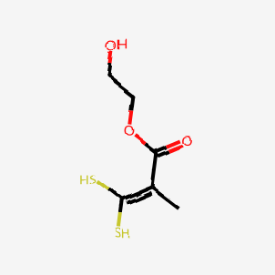 CC(C(=O)OCCO)=C(S)S